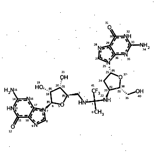 CC(NC[C@H]1O[C@@H](n2cnc3c(=O)[nH]c(N)nc32)[C@H](O)[C@@H]1O)(N[C@H]1C[C@H](n2cnc3c(=O)[nH]c(N)nc32)O[C@@H]1CO)C(F)(F)F